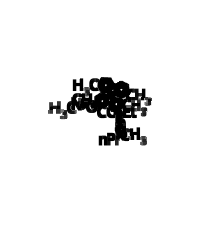 CCCN(C)COCCc1ccc(C2(c3ccc(OCCN(C)C)c(C(=O)OCC)c3)c3cc(C)ccc3-c3ccc(C)cc32)cc1C